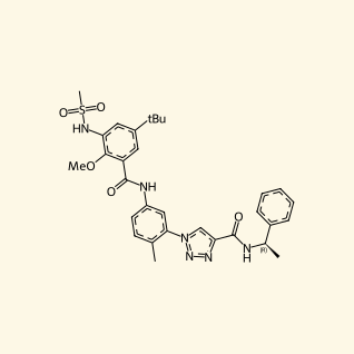 COc1c(NS(C)(=O)=O)cc(C(C)(C)C)cc1C(=O)Nc1ccc(C)c(-n2cc(C(=O)N[C@H](C)c3ccccc3)nn2)c1